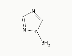 Bn1cncn1